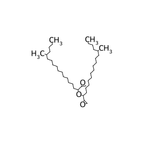 CCCCC(C)CCCCCCCCCCCC(OC(CCCCCCCCCCCC(C)CCCC)C1CO1)C1CO1